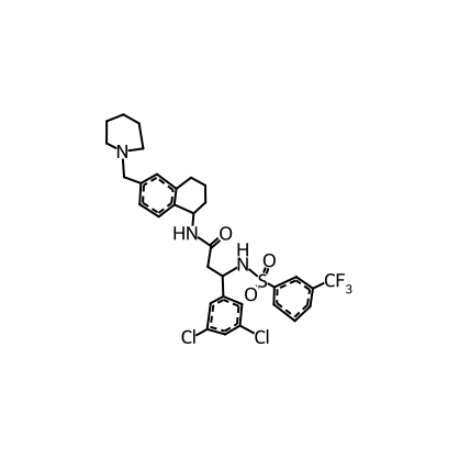 O=C(CC(NS(=O)(=O)c1cccc(C(F)(F)F)c1)c1cc(Cl)cc(Cl)c1)NC1CCCc2cc(CN3CCCCC3)ccc21